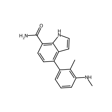 CNc1cccc(-c2ccc(C(N)=O)c3[nH]ccc23)c1C